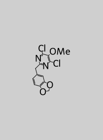 COc1c(Cl)nc(Cc2ccc3c(c2)OCO3)nc1Cl